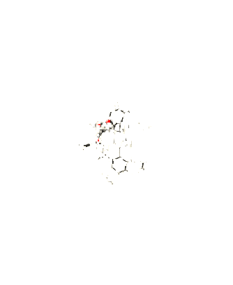 COCOc1c(OC)c(C)cc2c1[C@@H]1C3[C@@H]4SC[C@H](O)C(=O)OC[C@@H](c5c6c(c(C)c(OC(C)=O)c54)OCO6)N3[C@@H](C#N)[C@H](C2)N1C